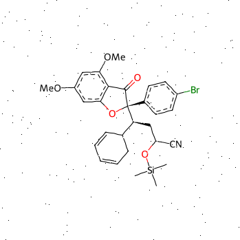 COc1cc(OC)c2c(c1)O[C@@](c1ccc(Br)cc1)([C@@H](CC(C#N)O[Si](C)(C)C)C1C=CC=CC1)C2=O